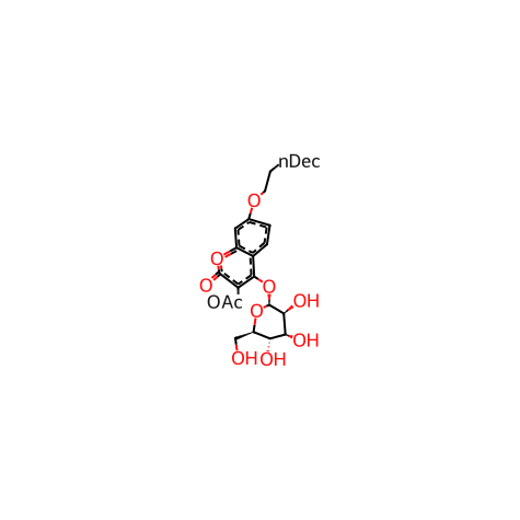 CCCCCCCCCCCCOc1ccc2c(O[C@@H]3O[C@H](CO)[C@@H](O)[C@H](O)[C@@H]3O)c(OC(C)=O)c(=O)oc2c1